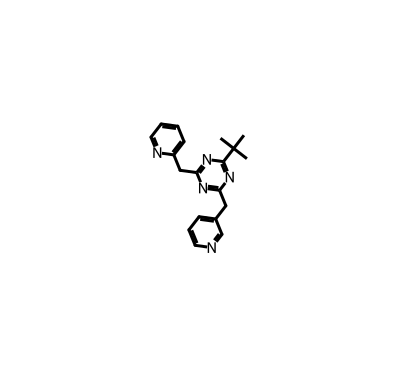 CC(C)(C)c1nc(Cc2cccnc2)nc(Cc2ccccn2)n1